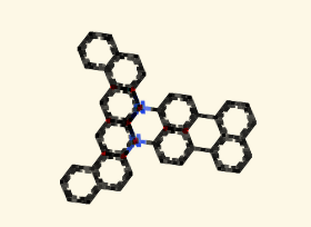 c1ccc(N(c2ccc(-c3cccc4cccc(-c5ccc(N(c6ccccc6)c6ccc7ccccc7c6)cc5)c34)cc2)c2ccc3ccccc3c2)cc1